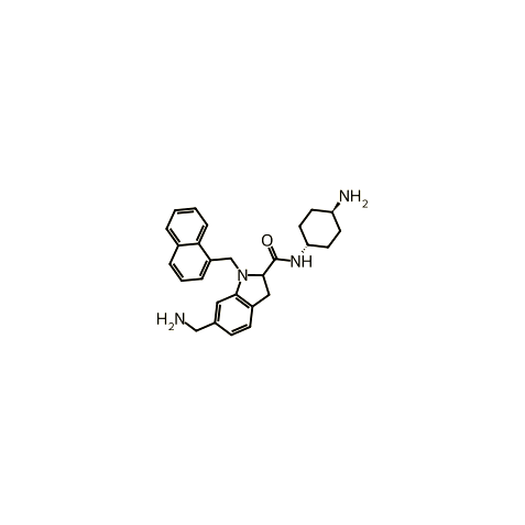 NCc1ccc2c(c1)N(Cc1cccc3ccccc13)C(C(=O)N[C@H]1CC[C@H](N)CC1)C2